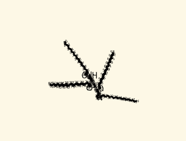 CCCCCCCCCCCCCCCCCC(=O)NCCN(CCN(CCN1CCN=C1CCCCCCCCCCCCCCCCC)C(=O)CCCCCCCCCCCCCCCCC)C(=O)CCCCCCCCCCCCCCCCC